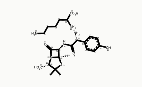 CC1(C)S[C@@H]2[C@H](NC(=O)[C@H](N)c3ccc(O)cc3)C(=O)N2[C@H]1C(=O)O.NCCCCC(N)C(=O)O